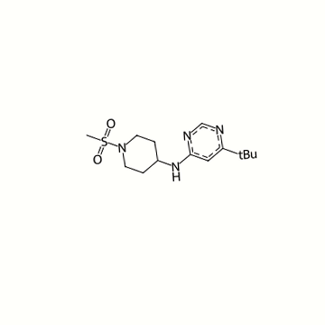 CC(C)(C)c1cc(NC2CCN(S(C)(=O)=O)CC2)ncn1